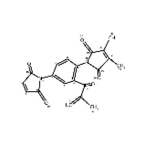 C=C(C)C(=O)c1cc(N2C(=O)C=CC2=O)ccc1N1C(=O)C(C)=C(C)C1=O